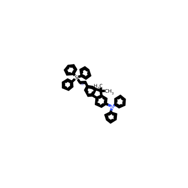 CC1(C)c2cc(/C=C/[Si](c3ccccc3)(c3ccccc3)c3ccccc3)ccc2-c2ccc(N(c3ccccc3)c3ccccc3)cc21